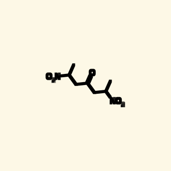 CC(CC(=O)CC(C)[N+](=O)[O-])[N+](=O)[O-]